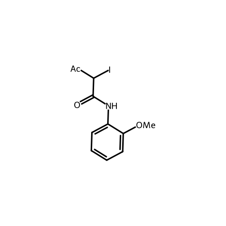 COc1ccccc1NC(=O)C(I)C(C)=O